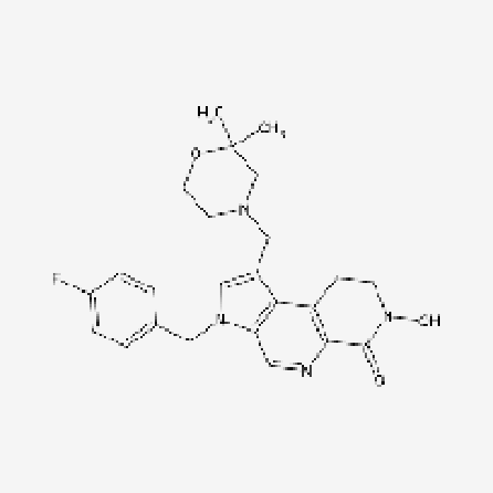 CC1(C)CN(Cc2cn(Cc3ccc(F)cc3)c3cnc4c(c23)CCN(O)C4=O)CCO1